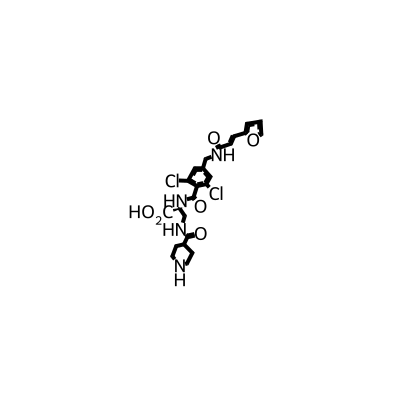 O=C(/C=C/c1ccco1)NCc1cc(Cl)c(C(=O)N[C@@H](CNC(=O)C2CCNCC2)C(=O)O)c(Cl)c1